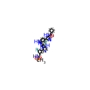 CS(=O)(=O)NCc1cc(F)cc(-c2nccc3[nH]c(-c4n[nH]c5ccc(-c6cncc(NC(=O)C7CCCCC7)c6)c(F)c45)nc23)c1